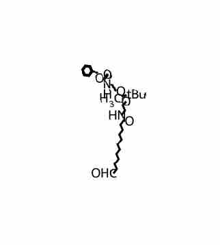 CC(C)(C)C(C)(OCCNC(=O)CCCCCCCCCCC=O)OCCNC(=O)OCc1ccccc1